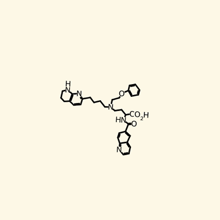 O=C(NC(CCN(CCCCc1ccc2c(n1)NCCC2)CCOc1ccccc1)C(=O)O)c1ccc2ncccc2c1